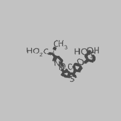 CC#C[C@@H](CC(=O)O)c1ccc(OCc2ccc3scc(-c4ccc(OCC5CCSC(O)(O)C5)cc4C)c3c2)nc1